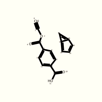 C#COC(=O)c1ccc(C(=O)O)cc1.c1cc2cc-2c1